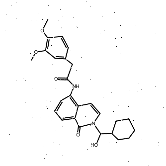 COc1ccc(CC(=O)Nc2cccc3c(=O)n(C(O)C4CCCCC4)ccc23)cc1OC